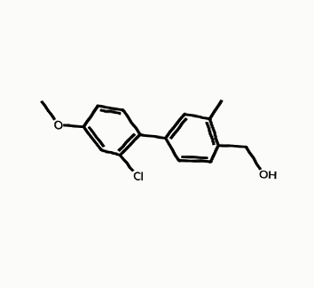 COc1ccc(-c2ccc(CO)c(C)c2)c(Cl)c1